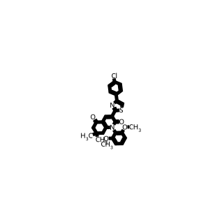 COc1cccc(OC)c1-n1c2c(cc(-c3nc(-c4ccc(Cl)cc4)cs3)c1=O)C(=O)CC(C)(C)C2